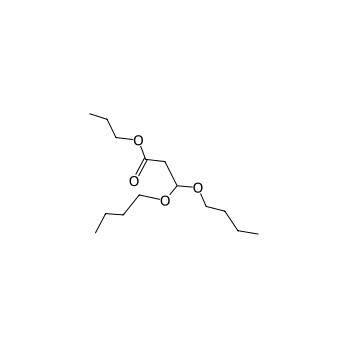 CCCCOC(CC(=O)OCCC)OCCCC